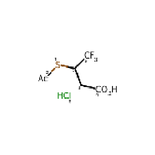 CC(=O)SC(CC(=O)O)C(F)(F)F.Cl